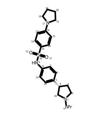 CCCN1CC[C@@H](c2ccc(NS(=O)(=O)c3ccc(N4CCCC4)cc3)cc2)C1